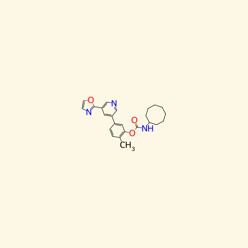 Cc1ccc(-c2cncc(-c3ncco3)c2)cc1OC(=O)NC1CCCCCCC1